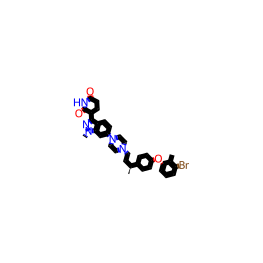 Cc1c(Br)cccc1OC1CCC([C@H](C)CCN2CCN(c3ccc4c(C5CCC(=O)NC5=O)nn(C)c4c3)CC2)CC1